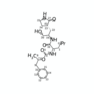 CC(C)CC(NC(=O)OC(C)Cc1ccccc1)C(=O)NC(CO)C[C@@H]1CCNC1=O